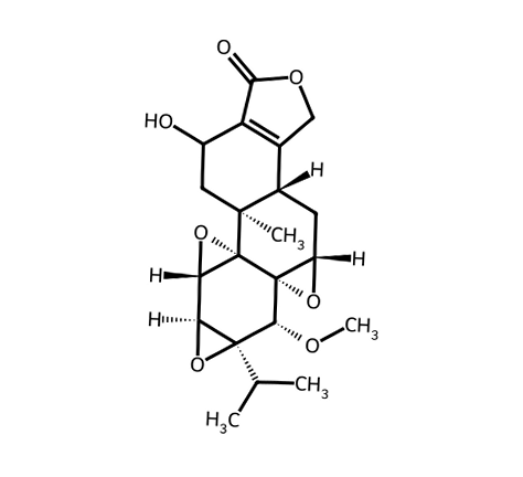 CO[C@@H]1[C@@]2(C(C)C)O[C@H]2[C@@H]2O[C@]23[C@]12O[C@H]2C[C@H]1C2=C(C(=O)OC2)C(O)C[C@@]13C